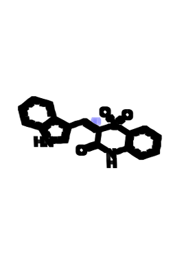 O=C1Nc2ccccc2S(=O)(=O)/C1=C/c1c[nH]c2ccccc12